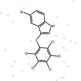 Clc1c(Cl)c(Cl)c(Sc2c[nH]c3ccc(Br)cc23)c(Cl)c1Cl